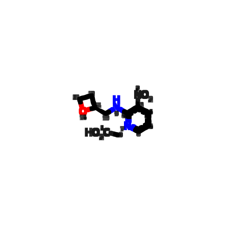 CC(=O)O.O=[N+]([O-])c1cccnc1NC[C@@H]1CCO1